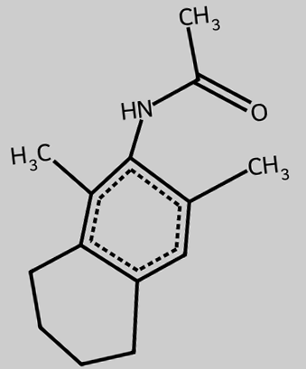 CC(=O)Nc1c(C)cc2c(c1C)CCCC2